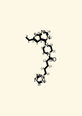 CCc1cc2c(N3CCN(C(=O)CCCCn4ncnn4)CC3)ncnc2s1